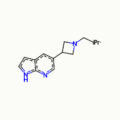 C[C](C)CN1CC(c2cnc3[nH]ccc3c2)C1